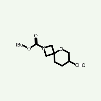 CC(C)(C)OC(=O)N1CC2(CCC(C=O)CO2)C1